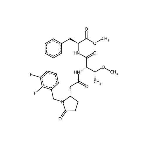 COC(=O)[C@H](Cc1ccccc1)NC(=O)[C@@H](NC(=O)C[C@@H]1CCC(=O)N1Cc1cccc(F)c1F)[C@@H](C)OC